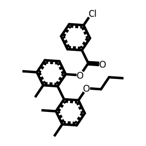 CCCOc1ccc(C)c(C)c1-c1c(OC(=O)c2cccc(Cl)c2)ccc(C)c1C